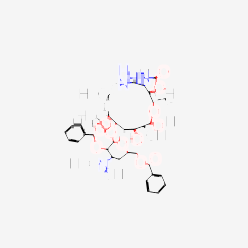 CC[C@H]1OC(=O)C(C)C(=O)[C@H](C)[C@@H](OC2OC(COC(=O)c3ccccc3)CC(N(C)C)C2OC(=O)c2ccccc2)[C@](C)(OC)C[C@@H](C)CN[C@H](C)[C@H]2NC(=O)O[C@@]21C